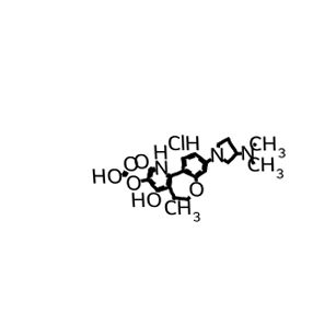 CC1COc2cc(N3CCC(N(C)C)C3)ccc2-c2[nH]c(=O)c(OC(=O)O)c(O)c21.Cl